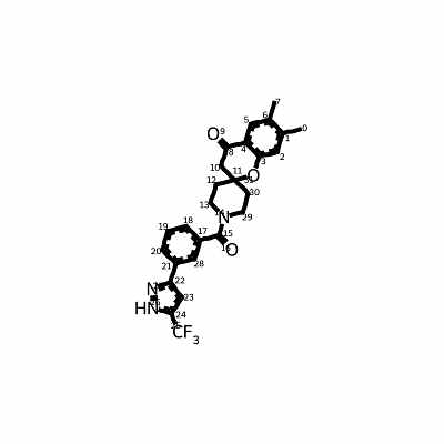 Cc1cc2c(cc1C)C(=O)CC1(CCN(C(=O)c3cccc(-c4cc(C(F)(F)F)[nH]n4)c3)CC1)O2